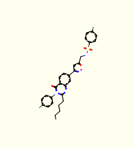 O=C(O)CCCCc1nc2cc(-c3cc(CNS(=O)(=O)c4ccc(F)cc4)on3)ccc2c(=O)n1-c1ccc(F)cc1